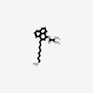 CCCCCCCCCC1=CC(OC(=O)C(C)C)c2cccc3cccc1c23